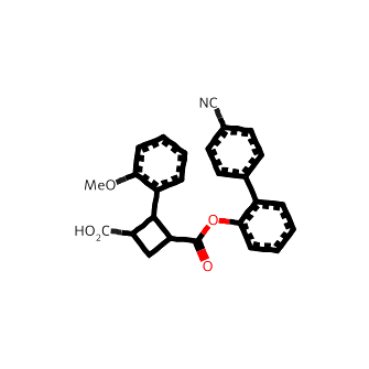 COc1ccccc1C1C(C(=O)O)CC1C(=O)Oc1ccccc1-c1ccc(C#N)cc1